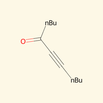 CCCCC#CC(=O)CCCC